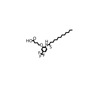 CCCCCCCCCCCCC(=S)Nc1ccc(C(F)(F)F)cc1OCCCC(=O)O